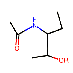 CCC(NC(C)=O)C(C)O